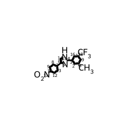 Cc1cc(-c2nc(-c3ccc([N+](=O)[O-])cc3)c[nH]2)cc(C(F)(F)F)c1